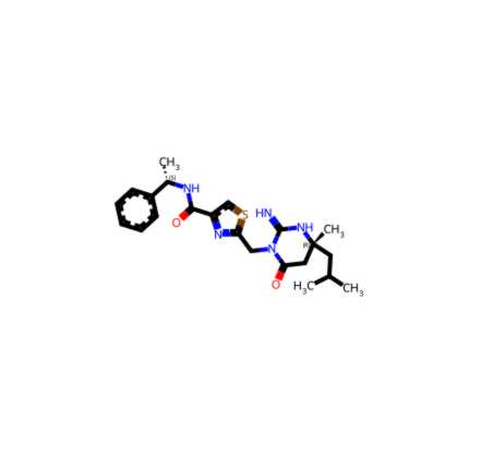 CC(C)C[C@]1(C)CC(=O)N(Cc2nc(C(=O)N[C@@H](C)c3ccccc3)cs2)C(=N)N1